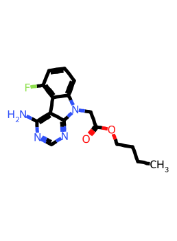 CCCCOC(=O)Cn1c2cccc(F)c2c2c(N)ncnc21